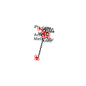 CCCCC(CCCC(OC)C(CCCCCCCCCCCCCCC1OCOC1=O)OC)OC1OCC(OC)C(OC)C1OC1OCC(OC(C)=O)C(O)C1OC1OC(COC(=O)CC(C)C)C(OC)C(OC)C1OC